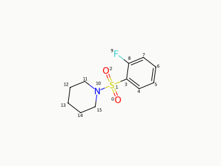 O=S(=O)(c1ccccc1F)N1CCCCC1